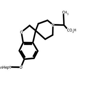 CCCCCCCOc1ccc2c(c1)OCC21CCN(C(C)C(=O)O)CC1